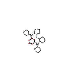 c1ccc(N(c2ccccc2)c2ccccc2Cc2ccccc2N(c2ccccc2)c2ccccc2)cc1